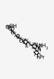 CCCc1ccc2c(c1)nc(N)c1ncc(CCc3ccc(OCCOCCOCC[PH](=O)O)cc3C)cc12